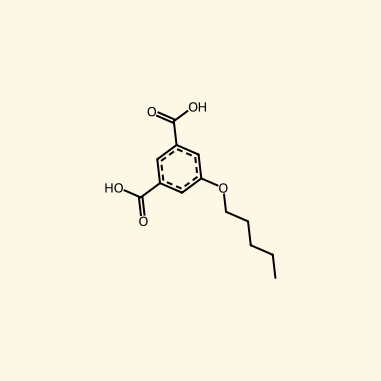 CCCCCOc1cc(C(=O)O)cc(C(=O)O)c1